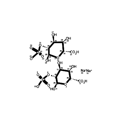 O=C(O)[C@@H]1O[C@@H](O)[C@H](OS(=O)(=O)[O-])[C@@H](O)[C@@H]1O.O=C(O)[C@@H]1O[C@@H](O)[C@H](OS(=O)(=O)[O-])[C@@H](O)[C@@H]1O.[Na+].[Na+]